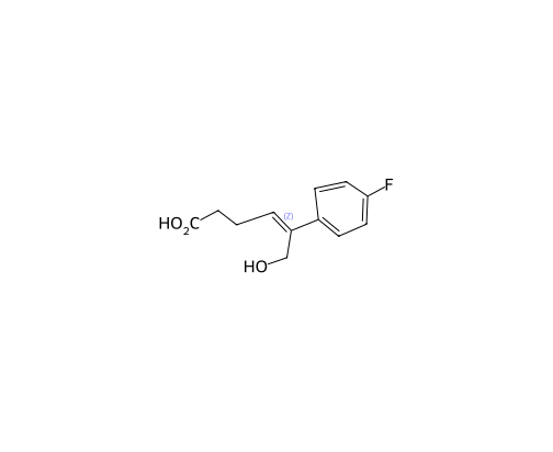 O=C(O)CC/C=C(\CO)c1ccc(F)cc1